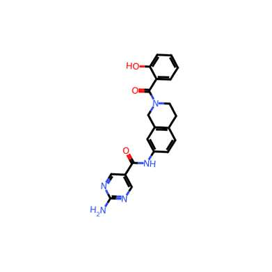 Nc1ncc(C(=O)Nc2ccc3c(c2)CN(C(=O)c2ccccc2O)CC3)cn1